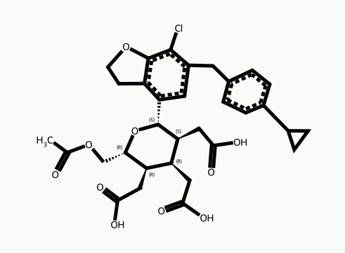 CC(=O)OC[C@@H]1O[C@H](c2cc(Cc3ccc(C4CC4)cc3)c(Cl)c3c2CCO3)[C@@H](CC(=O)O)[C@@H](CC(=O)O)[C@H]1CC(=O)O